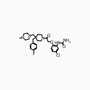 CN1CCN(CC2(Cc3ccc(F)cc3)CCN(C(=O)COc3ccc(Cl)cc3NC(N)=O)CC2)CC1